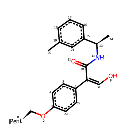 CCC[C@H](C)COc1ccc(C(=CO)C(=O)N[C@H](C)c2cccc(C)c2)cc1